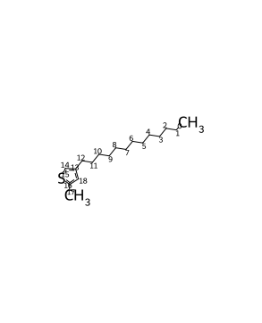 CCCCCCCCCCCCCc1csc(C)c1